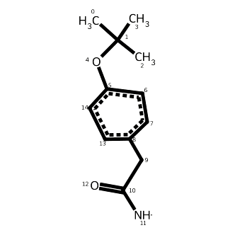 CC(C)(C)Oc1ccc(CC([NH])=O)cc1